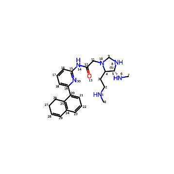 CNCCC1[C@@H](NC)NCN1CC(=O)Nc1cccc(-c2cccc3c2CCC=C3)n1